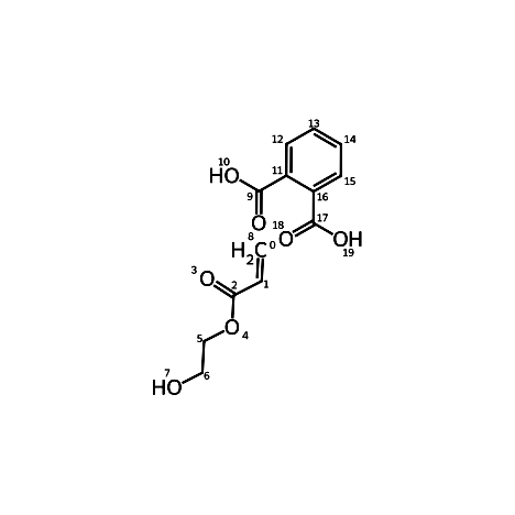 C=CC(=O)OCCO.O=C(O)c1ccccc1C(=O)O